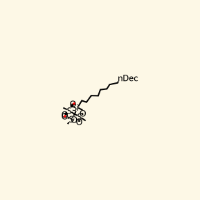 CCCCCCCCCCCCCCCCCC[Si](C)(C)C(S(C)(=O)=O)(S(C)(=O)=O)S(C)(=O)=O